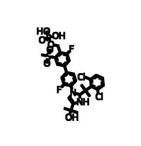 CC(C)(O)C1=CN(c2ccc(-c3cc(F)c(COP(=O)(O)O)c(S(C)(=O)=O)c3)cc2F)C(C(C)(C)c2c(Cl)cccc2Cl)N1